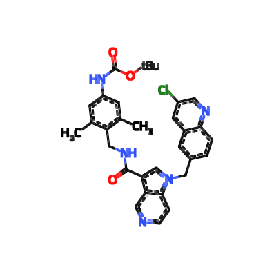 Cc1cc(NC(=O)OC(C)(C)C)cc(C)c1CNC(=O)c1cn(Cc2ccc3ncc(Cl)cc3c2)c2ccncc12